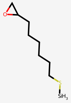 [SiH3]SCCCCCCC1CO1